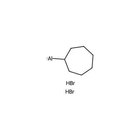 Br.Br.[Al][CH]1CCCCCC1